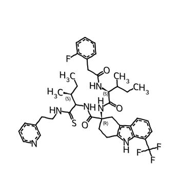 CCC(C)[C@H](NC(=O)Cc1ccccc1F)C(=O)N[C@]1(C(=O)NC(C(=S)NCCc2cccnc2)[C@@H](C)CC)CCc2[nH]c3c(C(F)(F)F)cccc3c2C1